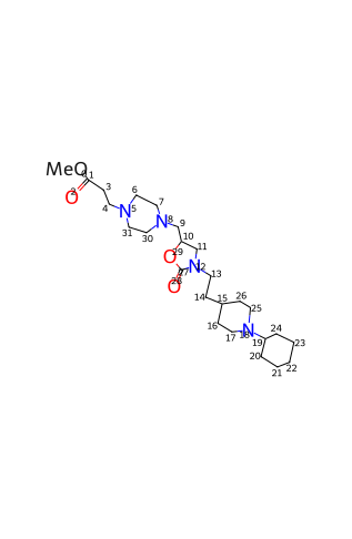 COC(=O)CCN1CCN(CC2CN(CCC3CCN(C4CCCCC4)CC3)C(=O)O2)CC1